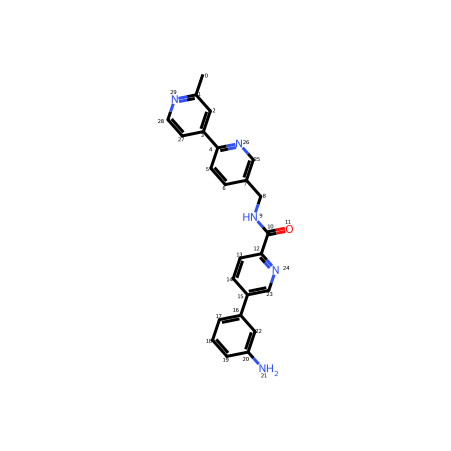 Cc1cc(-c2ccc(CNC(=O)c3ccc(-c4cccc(N)c4)cn3)cn2)ccn1